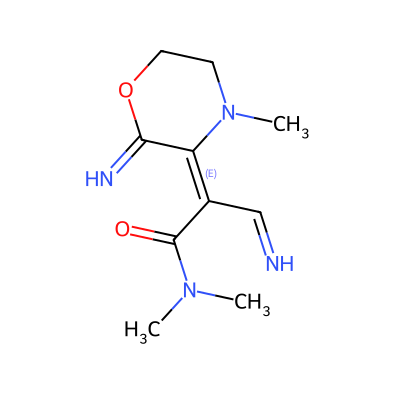 CN(C)C(=O)/C(C=N)=C1\C(=N)OCCN1C